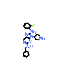 Fc1ccccc1Nc1nc2cnc(NCc3ccccc3)nc2n1C1CCNCC1